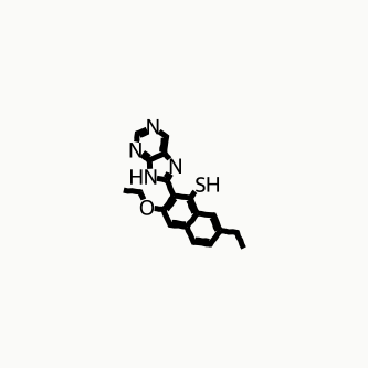 CCOc1cc2ccc(CC)cc2c(S)c1-c1nc2cncnc2[nH]1